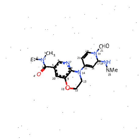 CCN(C)C(=O)c1cnc2c(c1)OCCN2C1=CC(NNC)N(C=O)C=C1